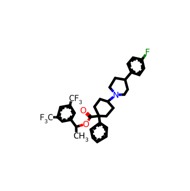 CC(OC(=O)C1(c2ccccc2)CCC(N2CCC(c3ccc(F)cc3)CC2)CC1)c1cc(C(F)(F)F)cc(C(F)(F)F)c1